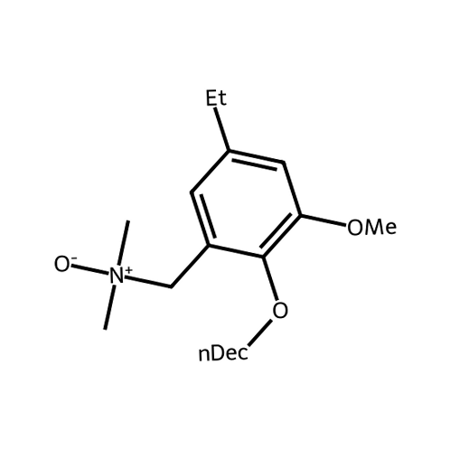 CCCCCCCCCCOc1c(C[N+](C)(C)[O-])cc(CC)cc1OC